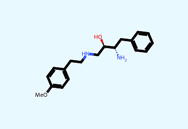 COc1ccc(CCNC[C@@H](O)[C@@H](N)Cc2ccccc2)cc1